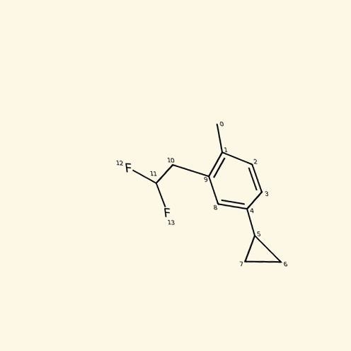 Cc1ccc(C2CC2)cc1CC(F)F